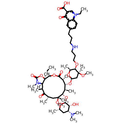 CC[C@@H]1OC(=O)[C@H](C)[C@H](O[C@@H]2C[C@](C)(OC)[C@H](OCCCNCCCc3ccc4c(c3)c(=O)c(C(=O)O)cn4CC)[C@H](C)O2)[C@@H](C)[C@H](O[C@H]2O[C@@H](C)C[C@@H](N(C)C)[C@H]2O)[C@](C)(OC)C[C@H](C)C(=O)C(C)[C@H]2N(C)C(=O)O[C@@]12C